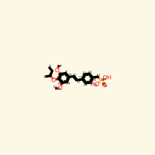 CCC(C)Oc1c(OC)cc(/C=C/c2ccc(CP(=O)(O)O)cc2)cc1OC